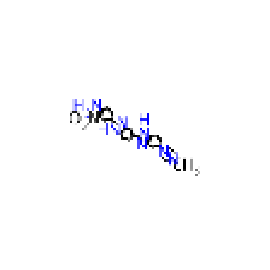 CN1CCN(c2ccc3[nH]c(-c4ccc5[nH]c(-c6ccc(N)c([N+](=O)[O-])c6)nc5c4)nc3c2)CC1